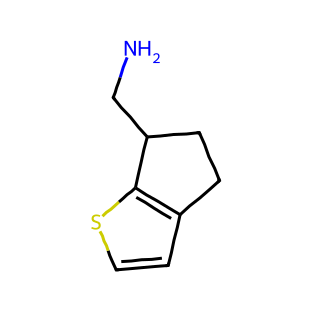 NCC1CCc2ccsc21